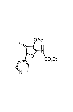 CCOC(=O)NC1=C(OC(C)=O)C(=O)C(C)(c2ccncc2)O1